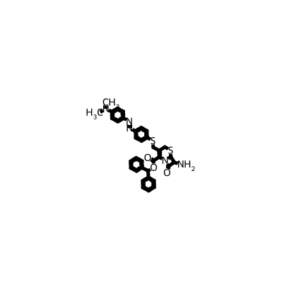 CN(C)c1ccc(N=Nc2ccc(SCC3=C(C(=O)OC(c4ccccc4)c4ccccc4)N4C(=O)C(N)C4SC3)cc2)cc1